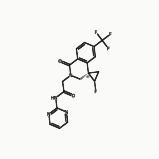 O=C(CN1C[C@@]2(CC2F)c2cc(C(F)(F)F)ccc2C1=O)Nc1ncccn1